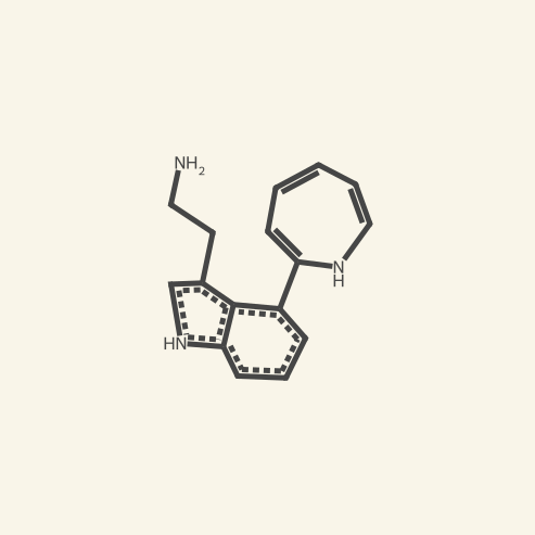 NCCc1c[nH]c2cccc(C3=CC=CC=CN3)c12